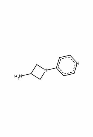 NC1CN(c2ccncc2)C1